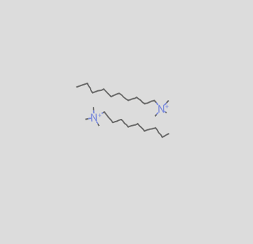 CCCCCCCCCC[N+](C)(C)C.CCCCCCCCC[N+](C)(C)C